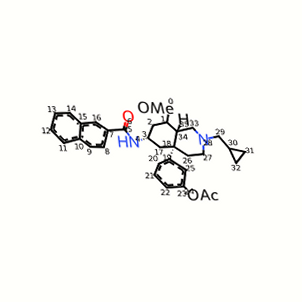 COC1C[C@@H](NC(=O)c2ccc3ccccc3c2)C[C@]2(c3cccc(OC(C)=O)c3)CCN(CC3CC3)C[C@@H]12